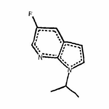 CC(C)n1ccc2cc(F)cnc21